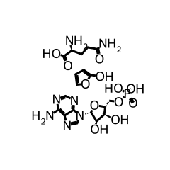 NC(=O)CC[C@H](N)C(=O)O.Nc1ncnc2c1ncn2[C@@H]1O[C@H](COP(=O)(O)O)[C@@H](O)[C@H]1O.Oc1ccco1